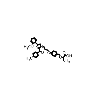 COc1ccccc1-c1cn(CCCOc2ccc(CO[C@H](C)C(=O)O)cc2)c(C(=O)c2ccc(C)cc2)n1